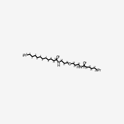 CC(C)CCCCCCCCCCC(=O)NCCCOCCCNC(=O)CCCCC(C)C